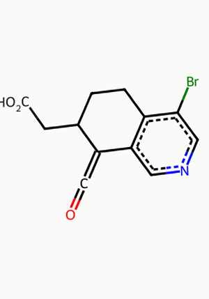 O=C=C1c2cncc(Br)c2CCC1CC(=O)O